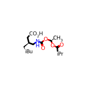 CC[C@@H](C)C[C@H](CNC(=O)O[C@H](C)OC(=O)C(C)C)CC(=O)O